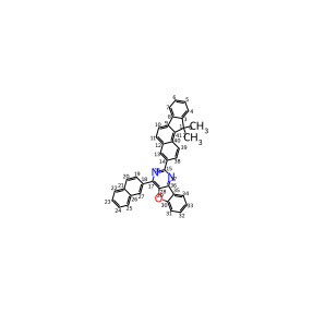 CC1(C)c2ccccc2-c2ccc3cc(-c4nc(-c5ccc6ccccc6c5)c5oc6ccccc6c5n4)ccc3c21